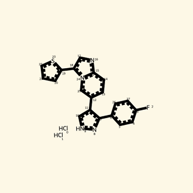 Cl.Cl.Fc1ccc(-c2n[nH]cc2-c2ccc3ncc(-c4cccs4)n3c2)cc1